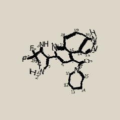 N=C(/C(=C\N)c1cc(C(=O)N2CCCCC2)c2c(ccc3[nH]ncc32)n1)C(F)(F)F